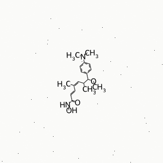 COC(c1ccc(N(C)C)cc1)C(C)C=C(C)C=CC(=O)NO